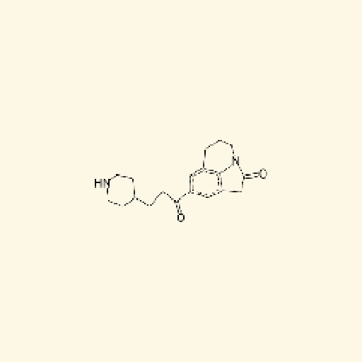 O=C(CCC1CCNCC1)c1cc2c3c(c1)CC(=O)N3CCC2